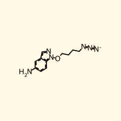 [N-]=[N+]=NCCCCOn1ncc2cc(N)ccc21